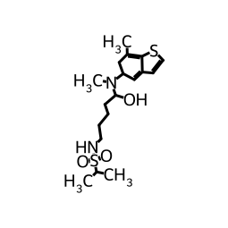 CC1=c2sccc2=CC(N(C)C(O)CCCCNS(=O)(=O)C(C)C)C1